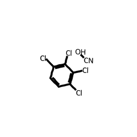 Clc1ccc(Cl)c(Cl)c1Cl.N#CO